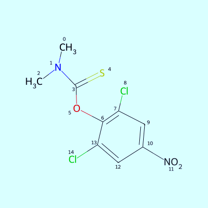 CN(C)C(=S)Oc1c(Cl)cc([N+](=O)[O-])cc1Cl